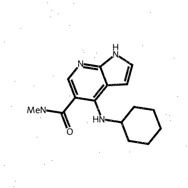 CNC(=O)c1cnc2[nH]ccc2c1NC1CCCCC1